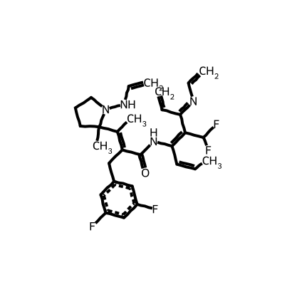 C=C/N=C(C=C)/C(=C(/C=C\C)NC(=O)/C(Cc1cc(F)cc(F)c1)=C(\C)C1(C)CCCN1NC=C)C(F)F